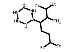 CCC(CC)CCC(B1NBNBN1)C(C)C(CC)CC